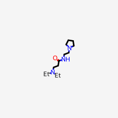 CCN(CC)CCC(=O)NCCN1CCCC1